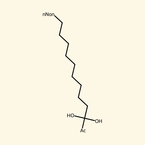 CCCCCCCCCCCCCCCCCCC(O)(O)C(C)=O